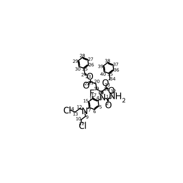 NC(=O)N(c1ccc(N(CCCl)CCCl)cc1F)[C@@H](CCC(=O)OCc1ccccc1)C(=O)OCc1ccccc1